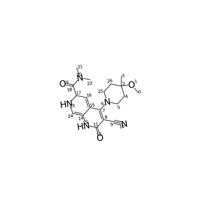 COC1(C)CCN(c2c(C#N)c(=O)[nH]c3c2=CC(C(=O)N(C)C)NC=3)CC1